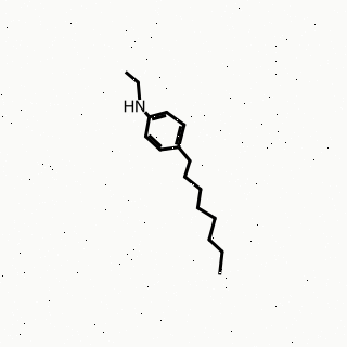 CCCCCCCCc1ccc(NCC)cc1